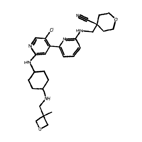 CC1(CNC2CCC(Nc3cc(-c4cccc(NCC5(C#N)CCOCC5)n4)c(Cl)cn3)CC2)COC1